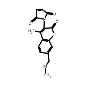 CNCc1ccc2c(C)c(N3C(=O)C=CC3=O)c(=O)oc2c1